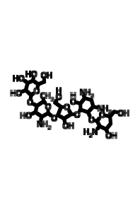 CC1OC(OC2C(CO)OC(OC3C(O)C(N)CC(N)C3OC3OC(CO)CC(O)C3N)C2O)C(N)C(O)C1OC1OC(CO)C(O)C(O)C1O